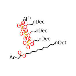 CCCCCCCCC=CCCCCCCCCOC(=O)CC(C)=O.CCCCCCCCCCCCOS(=O)(=O)[O-].CCCCCCCCCCCCOS(=O)(=O)[O-].CCCCCCCCCCCCOS(=O)(=O)[O-].[Al+3]